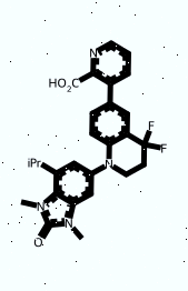 CC(C)c1cc(N2CCC(F)(F)c3cc(-c4cccnc4C(=O)O)ccc32)cc2c1n(C)c(=O)n2C